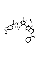 Cc1[nH]c(CONc2ccc3[nH]ccc3c2)c(C)c1-c1nc2cc(C(=O)c3ccccc3)ccc2[nH]1